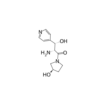 N[C@@H](C(=O)N1CC[C@@H](O)C1)[C@@H](O)c1ccncc1